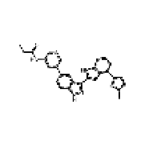 CCC(=O)Nc1cncc(-c2ccc3[nH]nc(-c4cc5c(-c6ccc(C)s6)cccc5[nH]4)c3c2)c1